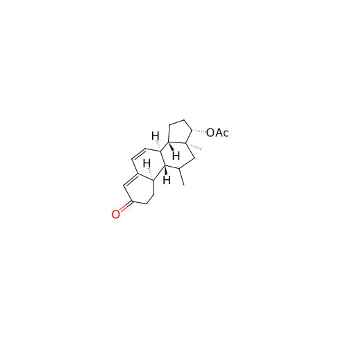 CC(=O)O[C@H]1CC[C@H]2[C@@H]3C=CC4=CC(=O)CC[C@@H]4[C@H]3C(C)C[C@]12C